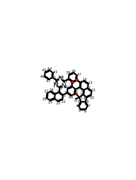 CC1(C)c2ccccc2-c2ccc3ccc4ccc5cc(-c6ccc7ccccc7c6-c6nc(-c7ccccc7)nc(-c7ccccc7)n6)ccc5c4c3c21